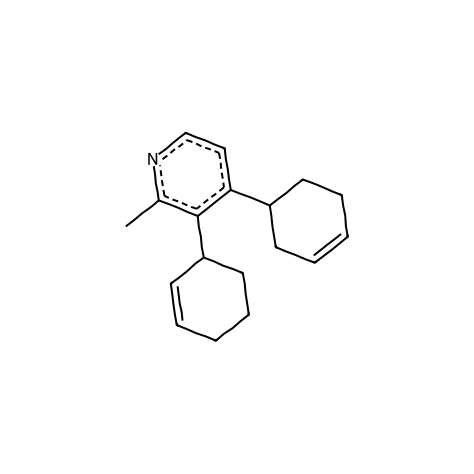 Cc1nccc(C2CC=CCC2)c1C1C=CCCC1